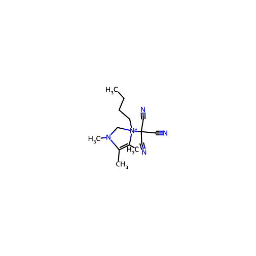 CCCC[N+]1(C(C#N)(C#N)C#N)CN(C)C(C)=C1C